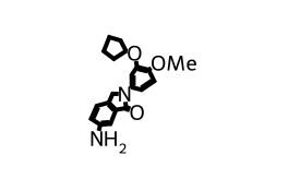 COc1ccc(N2Cc3ccc(N)cc3C2=O)cc1OC1CCCC1